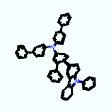 C1=Cc2c(n(-c3ccccc3)c3ccc(-c4ccc(N(c5ccc(-c6ccccc6)cc5)c5ccc(-c6ccccc6)cc5)cc4-c4ccccc4)cc23)CC1